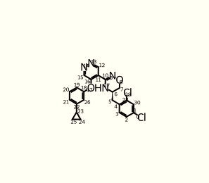 Clc1ccc(C[C@@H]2CON=C(c3cnncc3Oc3cccc(C4CC4)c3)N2)c(Cl)c1